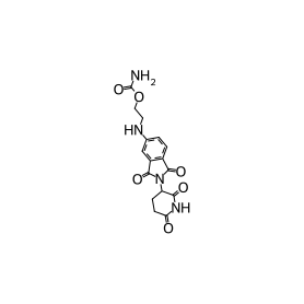 NC(=O)OCCNc1ccc2c(c1)C(=O)N(C1CCC(=O)NC1=O)C2=O